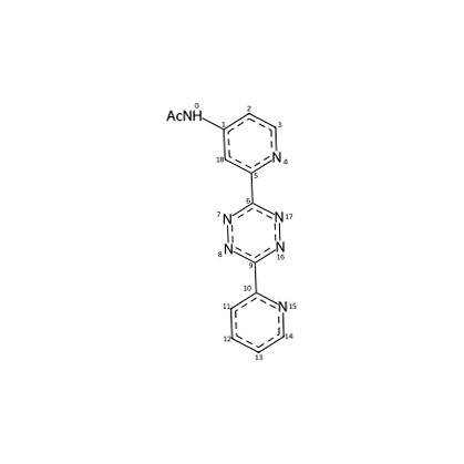 CC(=O)Nc1ccnc(-c2nnc(-c3ccccn3)nn2)c1